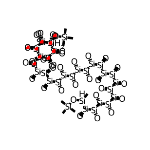 C[SiH](O[Si](C)(C)C)[Si](=O)[Si](=O)[Si](=O)[Si](=O)[Si](=O)[Si](=O)[Si](=O)[Si](=O)[Si](=O)[Si](=O)[Si](=O)[Si](=O)[Si](=O)[Si](=O)[Si](=O)[Si](=O)[Si](=O)[Si](=O)[Si](=O)[Si](=O)[Si](=O)[Si](=O)[Si](=O)[Si](=O)[Si](=O)[Si](=O)[Si](=O)[Si](=O)[Si](=O)[Si](=O)[Si](=O)[Si](=O)[Si](=O)[Si](=O)[Si](=O)[SiH2]O[Si](C)(C)C